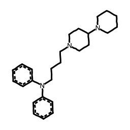 c1ccc(N(CCCCN2CCC(N3CCCCC3)CC2)c2ccccc2)cc1